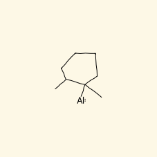 CC1CCCC[C]1(C)[Al]